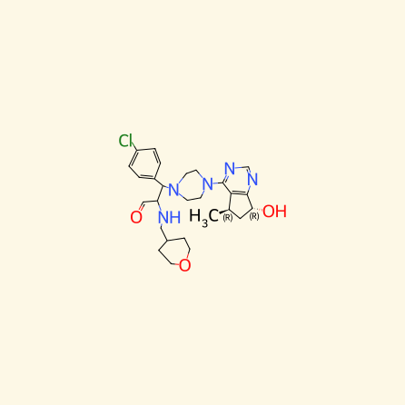 C[C@@H]1C[C@@H](O)c2ncnc(N3CCN(C(c4ccc(Cl)cc4)C(C=O)NCC4CCOCC4)CC3)c21